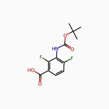 CC(C)(C)OC(=O)Nc1c(F)ccc(C(=O)O)c1F